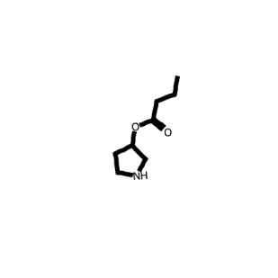 CCCC(=O)OC1CCNC1